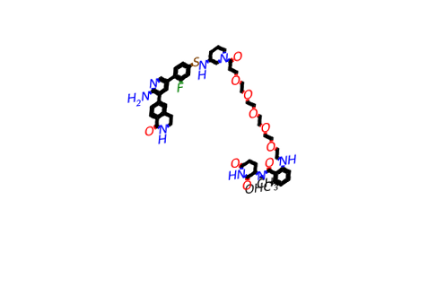 CN(C(=O)c1c(C=O)cccc1NCCOCCOCCOCCOCCOCCC(=O)N1CCCC(NSc2ccc(-c3cnc(N)c(-c4ccc5c(c4)CCNC5=O)c3)c(F)c2)C1)C1CCC(=O)NC1=O